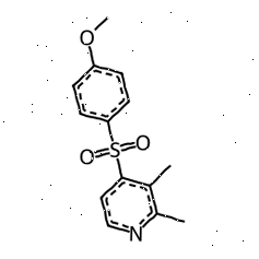 COc1ccc(S(=O)(=O)c2ccnc(C)c2C)cc1